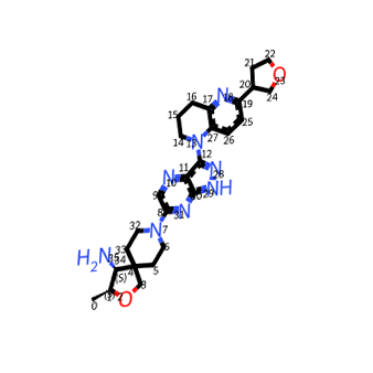 C[C@@H]1OCC2(CCN(c3cnc4c(N5CCCc6nc(C7CCOC7)ccc65)n[nH]c4n3)CC2)[C@@H]1N